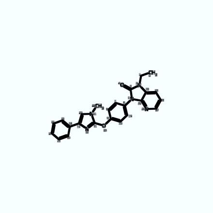 CCn1c(=O)n(-c2ccc(Oc3nc(-c4ccccc4)cn3C)cc2)c2ncccc21